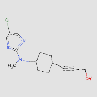 CN(c1ncc(Cl)cn1)C1CCC(C#CCO)CC1